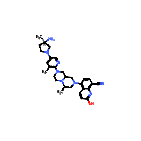 Cc1cc(N2CC[C@@](C)(N)C2)cnc1N1CCN2C(C)CN(c3ccc(C#N)c4nc(O)ccc34)CC2C1